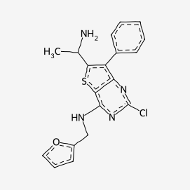 CC(N)c1sc2c(NCc3ccco3)nc(Cl)nc2c1-c1ccccc1